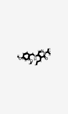 CCCc1c(NCc2ccc(OC)cc2OC)cnn(C(C)C)c1=O